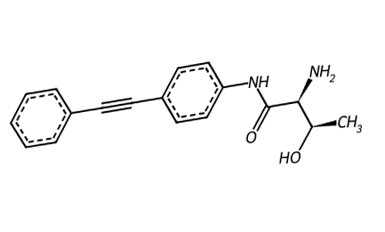 C[C@@H](O)[C@H](N)C(=O)Nc1ccc(C#Cc2ccccc2)cc1